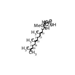 COP(=O)(CP(=O)(O)O)NC/C=C(\C)CC/C=C(\C)CCC=C(C)C